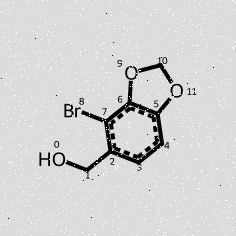 OCc1ccc2c(c1Br)OCO2